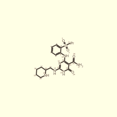 CC(C)S(=O)(=O)c1ccccc1Nc1nc(NCC2CCCCN2)[nH]c(=O)c1C(N)=O